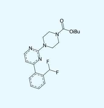 CC(C)COC(=O)N1CCN(c2nccc(-c3ccccc3C(F)F)n2)CC1